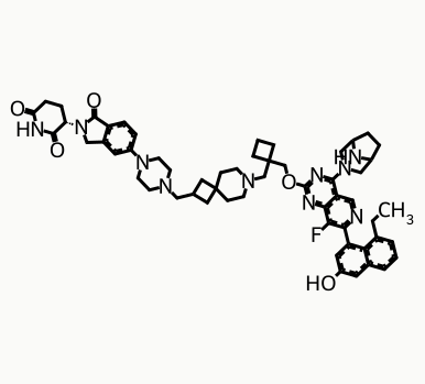 CCc1cccc2cc(O)cc(-c3ncc4c(N5CC6CCC(C5)N6)nc(OCC5(CN6CCC7(CC6)CC(CN6CCN(c8ccc9c(c8)CN([C@H]8CCC(=O)NC8=O)C9=O)CC6)C7)CCC5)nc4c3F)c12